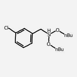 CCCCO[SiH](Cc1cccc(Cl)c1)OCCCC